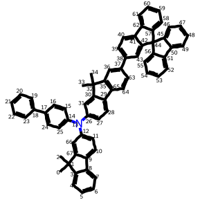 CC1(C)c2ccccc2-c2ccc(N(c3ccc(-c4ccccc4)cc3)c3ccc4c(c3)C(C)(C)c3cc(-c5ccc6c(c5)C5(c7ccccc7-c7ccccc75)c5ccccc5-6)ccc3-4)cc21